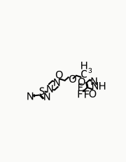 CC(COCCC(=O)N1CCN(c2ncc(C#N)s2)CC1)Oc1cn[nH]c(=O)c1C(F)(F)F